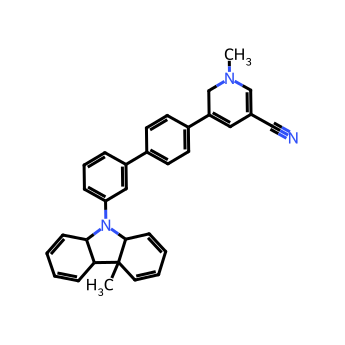 CN1C=C(C#N)C=C(c2ccc(-c3cccc(N4C5C=CC=CC5C5(C)C=CC=CC45)c3)cc2)C1